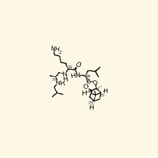 CC(C)CN[C@@H](C)CN[C@@H](CCCCN)C(=O)N[C@@H](CC(C)C)B1O[C@@H]2C[C@@H]3C[C@@H](C3(C)C)[C@]2(C)O1